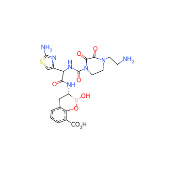 NCCN1CCN(C(=O)NC(C(=O)N[C@H]2Cc3cccc(C(=O)O)c3OB2O)c2csc(N)n2)C(=O)C1=O